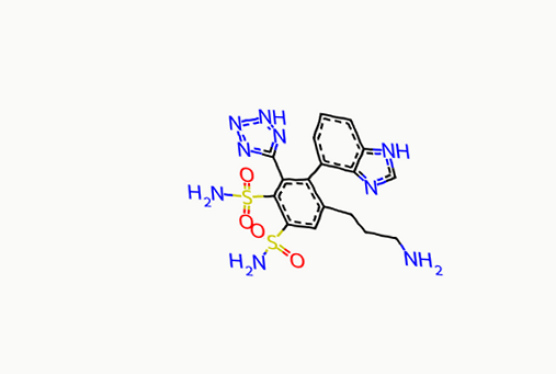 NCCCc1cc(S(N)(=O)=O)c(S(N)(=O)=O)c(-c2nn[nH]n2)c1-c1cccc2[nH]cnc12